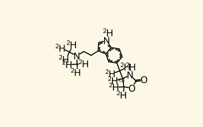 [2H]N1C(=O)OC([2H])([2H])[C@]1([2H])C([2H])([2H])c1ccc2c(c1)c(CCN(C([2H])([2H])[2H])C([2H])([2H])[2H])cn2[2H]